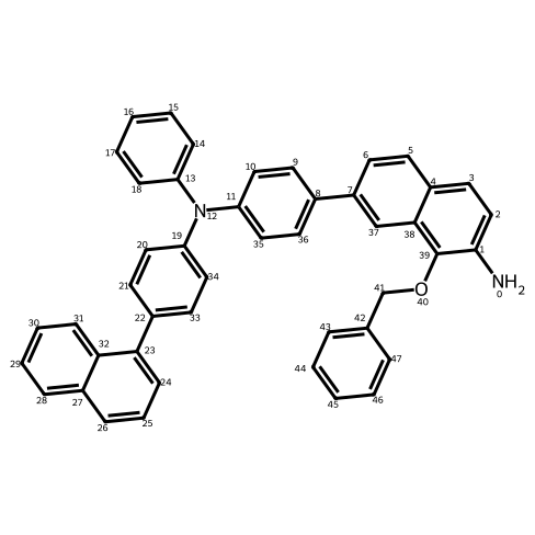 Nc1ccc2ccc(-c3ccc(N(c4ccccc4)c4ccc(-c5cccc6ccccc56)cc4)cc3)cc2c1OCc1ccccc1